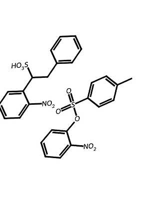 Cc1ccc(S(=O)(=O)Oc2ccccc2[N+](=O)[O-])cc1.O=[N+]([O-])c1ccccc1C(Cc1ccccc1)S(=O)(=O)O